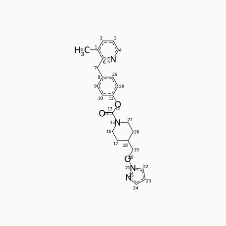 Cc1cccnc1Cc1ccc(OC(=O)N2CCC(COn3cccn3)CC2)cc1